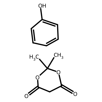 CC1(C)OC(=O)CC(=O)O1.Oc1ccccc1